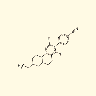 CCC1CCC2c3cc(F)c(-c4ccc(C#N)cc4)c(F)c3CCC2C1